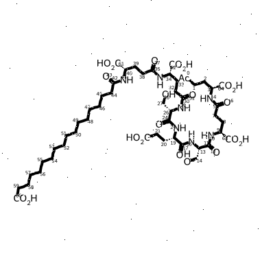 CC(=O)CC[C@H](NC(=O)CC[C@H](NC(=O)[C@H](CO)NC(=O)[C@H](CCC(=O)O)NC(=O)[C@H](CO)NC(=O)CC[C@H](NC(=O)CC[C@H](NC(=O)CCCCCCCCCCCCCCCCC(=O)O)C(=O)O)C(=O)O)C(=O)O)C(=O)O